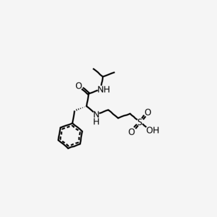 CC(C)NC(=O)[C@@H](Cc1ccccc1)NCCCS(=O)(=O)O